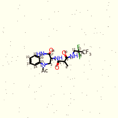 CC(=O)N1CC(NC(=O)C(C)C(=O)NCC(F)(F)C(F)(F)F)C(=O)Nc2ccccc21